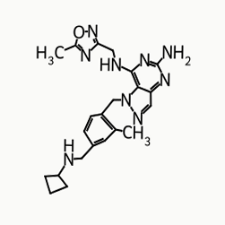 Cc1nc(CNc2nc(N)nc3cnn(Cc4ccc(CNC5CCC5)cc4C)c23)no1